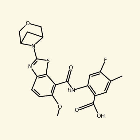 COc1ccc2nc(N3C4COCC3C4)sc2c1C(=O)Nc1cc(F)c(C)cc1C(=O)O